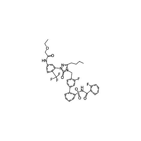 CCCCc1nn(-c2cc(NC(=O)COCC)ccc2C(F)(F)F)c(=O)n1Cc1ccc(-c2ccccc2S(=O)(=O)NC(=O)c2ccccc2F)cc1F